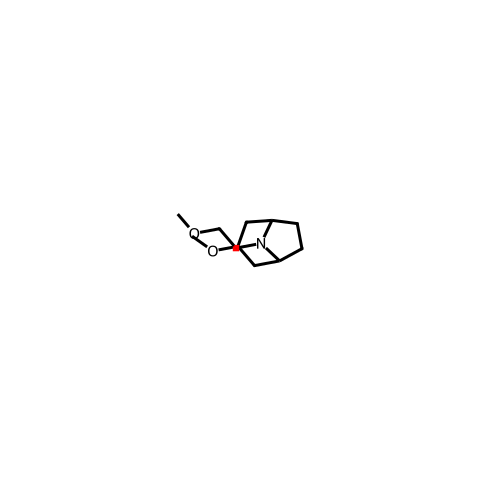 COCCN1C2CCC1CC(OC)C2